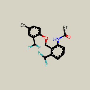 CCC(=O)Nc1cccc(C(F)F)c1COc1ccc(CC)cc1C(F)F